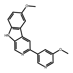 COc1cncc(-c2cc3c(cn2)[nH]c2ccc(OC)cc23)c1